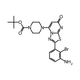 CC(C)(C)OC(=O)N1CCN(c2cc(=O)nc3sc(-c4cccc(N)c4Br)nn23)CC1